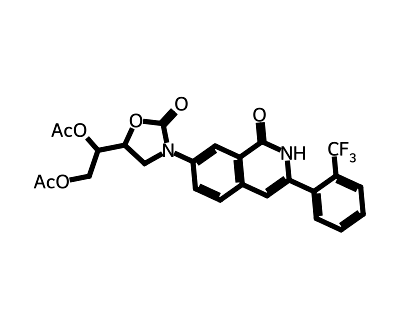 CC(=O)OCC(OC(C)=O)C1CN(c2ccc3cc(-c4ccccc4C(F)(F)F)[nH]c(=O)c3c2)C(=O)O1